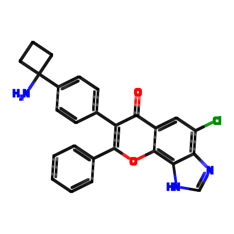 NC1(c2ccc(-c3c(-c4ccccc4)oc4c(cc(Cl)c5nc[nH]c54)c3=O)cc2)CCC1